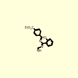 CCOC(=O)C1=CCC(/C=N/C(=N\C=N)c2ccccc2O)C=C1